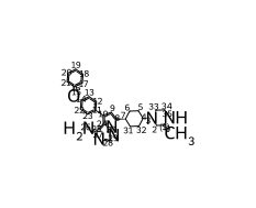 C[C@H]1CN([C@H]2CC[C@H](c3cc(-c4ccc(Oc5ccccc5)cc4)c4c(N)ncnn43)CC2)CCN1